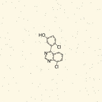 Oc1ccc(Cl)c(-c2ncnc3c(Cl)cccc23)c1